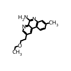 CCOCCc1cnc2c(N)nc3cc(C)ccc3c2c1